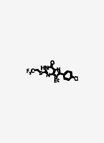 CCn1c(-c2ccc(Cl)cc2)nc2c(=O)[nH]c(SCC(F)(F)F)nc21